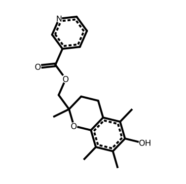 Cc1c(C)c2c(c(C)c1O)CCC(C)(COC(=O)c1cccnc1)O2